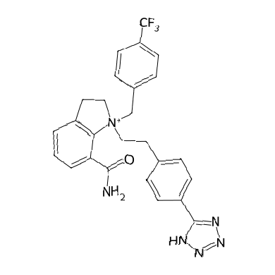 NC(=O)c1cccc2c1[N+](CCc1ccc(-c3nnn[nH]3)cc1)(Cc1ccc(C(F)(F)F)cc1)CC2